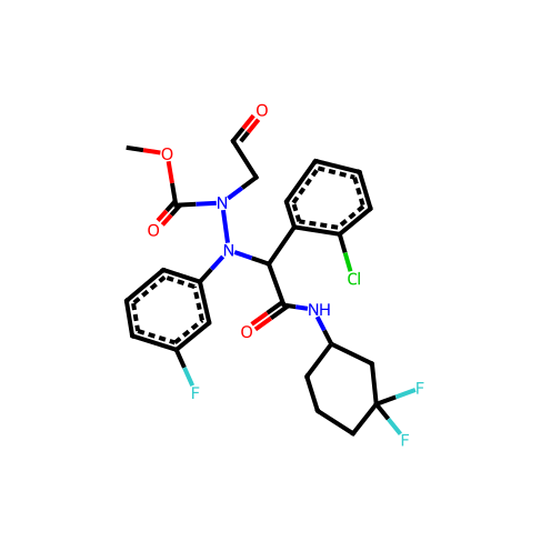 COC(=O)N(CC=O)N(c1cccc(F)c1)C(C(=O)NC1CCCC(F)(F)C1)c1ccccc1Cl